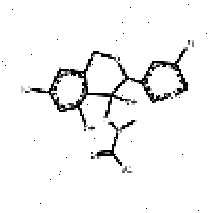 CCc1cccc(C2OCc3cc(O)cc(O)c3C2(O)ON(C)C(=O)C(C)=O)c1